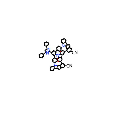 N#Cc1cccc(-c2ccc3c(c2)c2cc(-c4cccc(C#N)c4)ccc2n3-c2c(-c3ccc(-n4c5ccccc5c5ccccc54)cc3)cc(-c3nc(-c4ccccc4)cc(-c4ccccc4)n3)cc2-c2ccc(-n3c4ccccc4c4ccccc43)cc2)c1